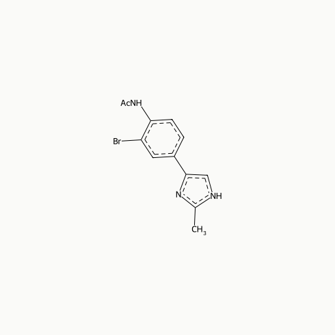 CC(=O)Nc1ccc(-c2c[nH]c(C)n2)cc1Br